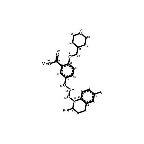 CCC1CCc2cc(C)ccc2N1ONOc1ccc(OCC2CCOCC2)c(C(=O)OC)c1